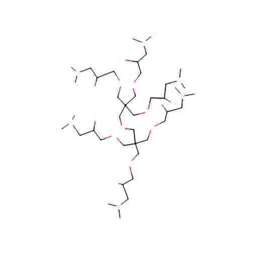 CCN(CC)CC(O)COCC(COCC(O)CN(CC)CC)(COCC(O)CN(CC)CC)COCC(COCC(O)CN(CC)CC)(COCC(O)CN(CC)CC)COCC(O)CN(CC)CC